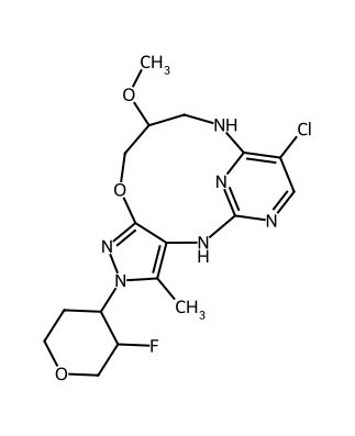 COC1CNc2nc(ncc2Cl)Nc2c(nn(C3CCOCC3F)c2C)OC1